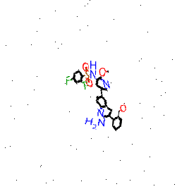 COCc1ccccc1-c1cc2cc(-c3cnc(OC)c(NS(=O)(=O)c4ccc(F)cc4F)c3)ccc2nc1N